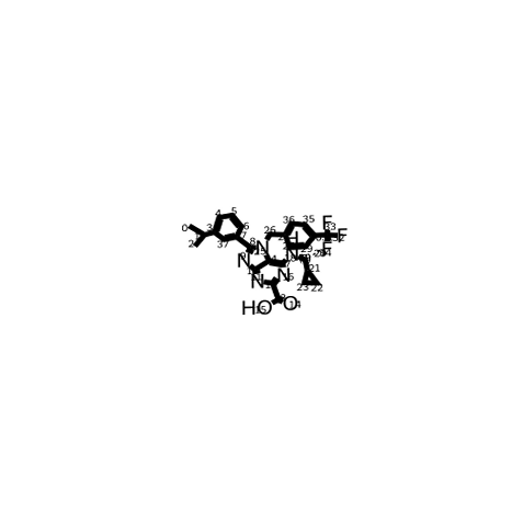 CC(C)c1cccc(-c2nc3nc(C(=O)O)nc(N[C@H](C)C4CC4)c3n2Cc2ccc(C(F)(F)F)cc2)c1